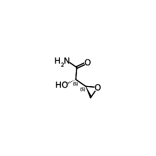 NC(=O)[C@@H](O)[C@@H]1CO1